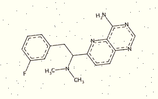 CN(C)C(Cc1cccc(F)c1)c1ccc2ncnc(N)c2n1